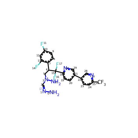 N/N=C\N(N)CC(c1ccc(F)cc1F)C(F)(F)c1ccc(-c2ccc(C(F)(F)F)nc2)cn1